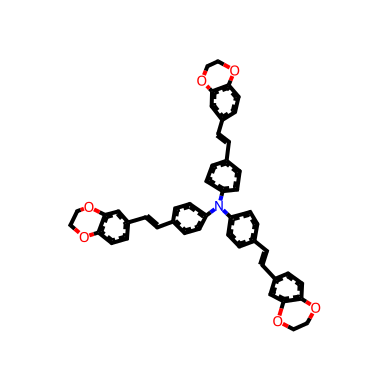 C(=C\c1ccc2c(c1)OCCO2)/c1ccc(N(c2ccc(/C=C/c3ccc4c(c3)OCCO4)cc2)c2ccc(/C=C/c3ccc4c(c3)OCCO4)cc2)cc1